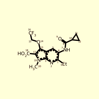 CCc1nc2c(cc1NC(=O)C1CC1)c(OCC(F)(F)F)c(C(=O)O)n2C